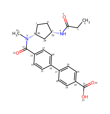 CCC(=O)N[C@H]1CC[C@@H](N(C)C(=O)c2ccc(-c3ccc(C(=O)O)cc3)cc2)C1